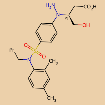 Cc1ccc(N(CC(C)C)S(=O)(=O)c2ccc(N(N)[C@H](CO)CC(=O)O)cc2)c(C)c1